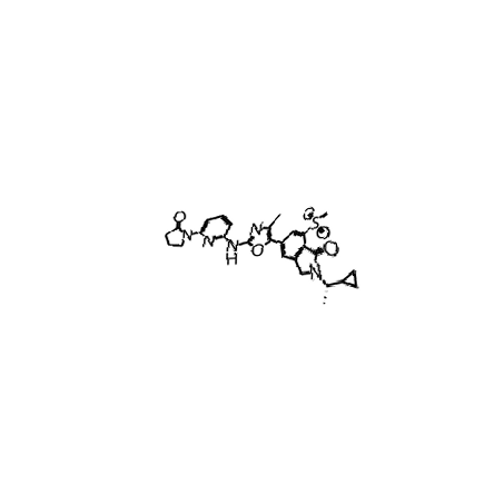 Cc1nc(Nc2cccc(N3CCCC3=O)n2)oc1-c1cc2c(c(S(C)(=O)=O)c1)C(=O)N([C@@H](C)C1CC1)C2